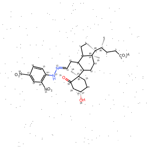 C[C@H](CCC(=O)O)[C@H]1CCC2C(CC=NNc3ccc([N+](=O)[O-])cc3[N+](=O)[O-])C([C@@]3(C)CC[C@H](O)CC3=O)CC[C@@]21C